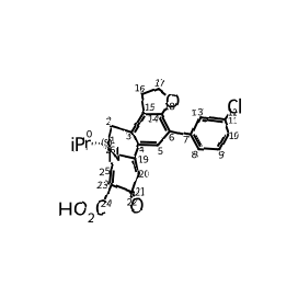 CC(C)[C@@H]1Cc2c(cc(-c3cccc(Cl)c3)c3c2CCO3)-c2cc(=O)c(C(=O)O)cn21